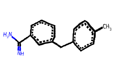 Cc1ccc([CH]c2cccc(C(=N)N)c2)cc1